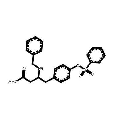 COC(=O)CC(Cc1ccc(OS(=O)(=O)c2ccccc2)cc1)NCc1ccccc1